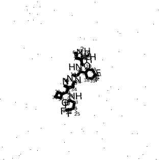 [2H]C([2H])([2H])n1nccc1C(=O)N[C@H](c1cn2ncc([C@H](NC(=O)C[C@H](C)C(F)(F)F)C3CCC3)cc2n1)C1CCC(F)(F)CC1